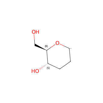 OC[C@H]1O[CH]CC[C@@H]1O